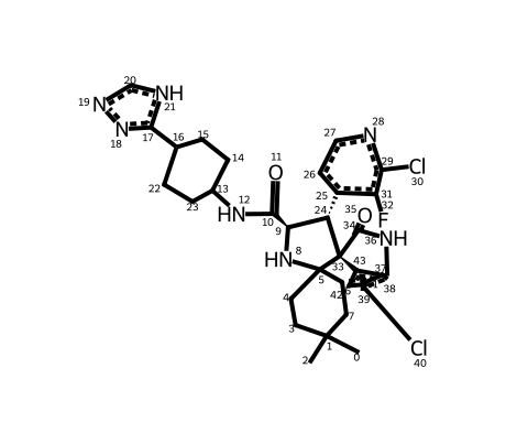 CC1(C)CCC2(CC1)N[C@@H](C(=O)NC1CCC(c3nnc[nH]3)CC1)[C@H](c1ccnc(Cl)c1F)[C@]21C(=O)Nc2cc(Cl)ccc21